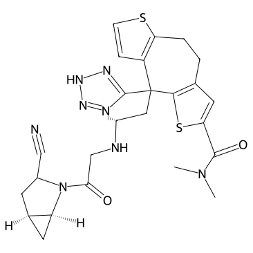 C[C@H](CC1(c2nn[nH]n2)c2ccsc2CCc2cc(C(=O)N(C)C)sc21)NCC(=O)N1C(C#N)C[C@@H]2C[C@@H]21